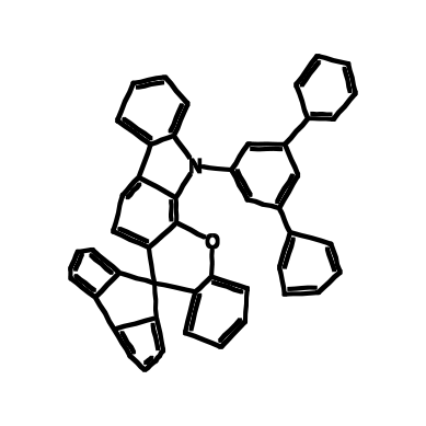 c1ccc(-c2cc(-c3ccccc3)cc(-n3c4ccccc4c4ccc5c(c43)Oc3ccccc3C53c4ccccc4-c4ccccc43)c2)cc1